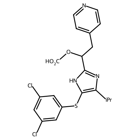 CC(C)c1nc(C(Cc2ccncc2)OC(=O)O)[nH]c1Sc1cc(Cl)cc(Cl)c1